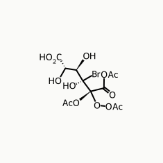 CC(=O)OO[C@@](OC(C)=O)(C(=O)OC(C)=O)[C@](O)(Br)[C@H](O)[C@H](O)C(=O)O